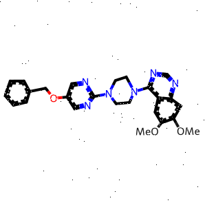 COc1cc2ncnc(N3CCN(c4ncc(OCc5ccccc5)cn4)CC3)c2cc1OC